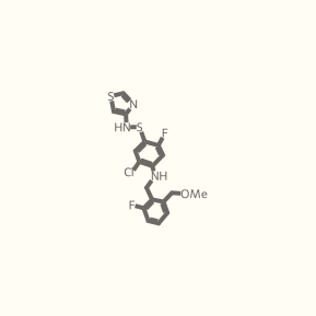 COCc1cccc(F)c1CNc1cc(F)c(SNc2cscn2)cc1Cl